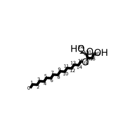 CCCCCCCCCCCCCCCCO[C@H]1CC(O)O[C@@H]1CO